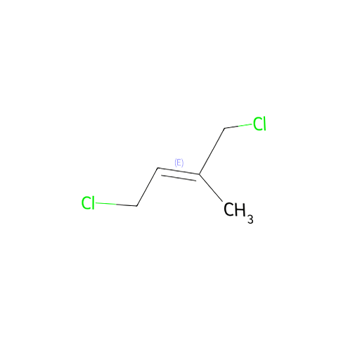 C/C(=C\CCl)CCl